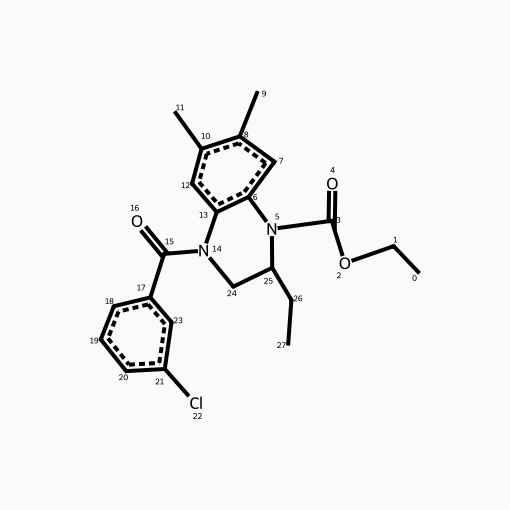 CCOC(=O)N1c2cc(C)c(C)cc2N(C(=O)c2cccc(Cl)c2)CC1CC